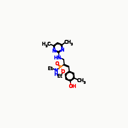 CCNP(=O)(OCC)/C(=C\c1ccc(O)c(C)c1)CNc1nc(C)cc(C)n1